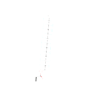 C=C(C)C(=O)OC(C)C(F)(F)C(F)(F)C(F)(F)C(F)(F)C(F)(F)C(F)(F)C(F)(F)C(F)(F)C(F)(F)C(F)(F)C(F)(F)C(F)(F)F